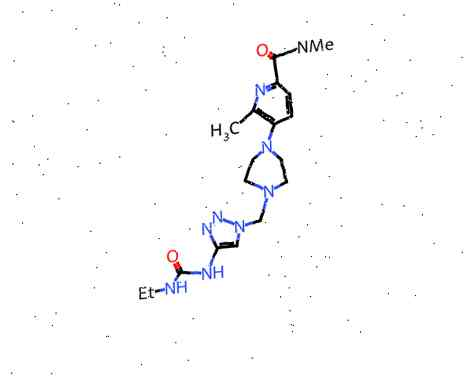 CCNC(=O)Nc1cn(CN2CCN(c3ccc(C(=O)NC)nc3C)CC2)nn1